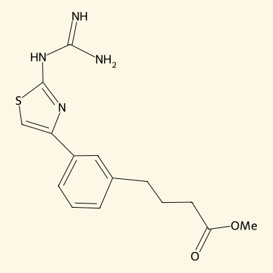 COC(=O)CCCc1cccc(-c2csc(NC(=N)N)n2)c1